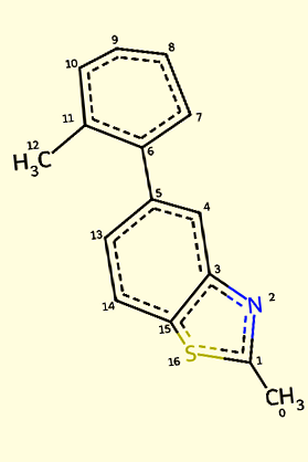 Cc1nc2cc(-c3ccccc3C)ccc2s1